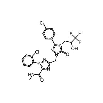 CNC(=O)c1nc(Cn2nc(-c3ccc(Cl)cc3)n(CC(O)C(F)(F)F)c2=O)nn1-c1ccccc1Cl